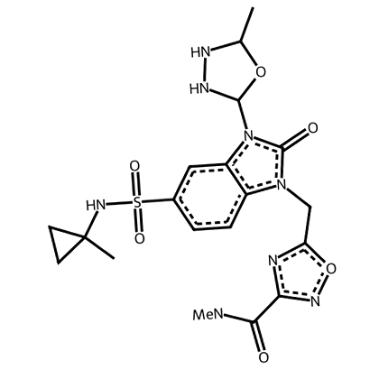 CNC(=O)c1noc(Cn2c(=O)n(C3NNC(C)O3)c3cc(S(=O)(=O)NC4(C)CC4)ccc32)n1